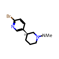 CNN1CCC[C@@H](c2ccc(Br)nc2)C1